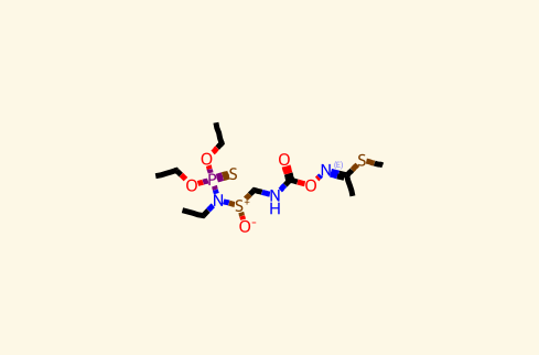 CCOP(=S)(OCC)N(CC)[S+]([O-])CNC(=O)O/N=C(\C)SC